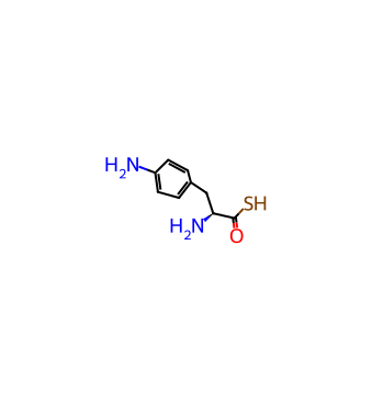 Nc1ccc(C[C@H](N)C(=O)S)cc1